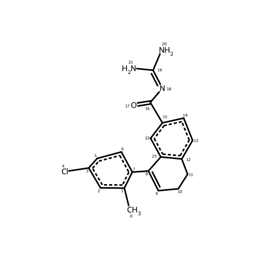 Cc1cc(Cl)ccc1C1=CCCc2ccc(C(=O)N=C(N)N)cc21